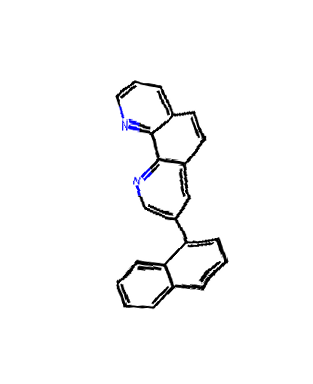 c1ccc2c(-c3cnc4c(ccc5cccnc54)c3)cccc2c1